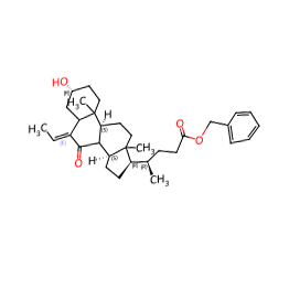 C/C=C1/C(=O)C2[C@H](CCC3(C)[C@@H]([C@H](C)CCC(=O)OCc4ccccc4)CC[C@@H]23)C2(C)CC[C@@H](O)CC12